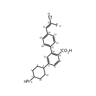 CCCC1CCC(c2ccc(C(=O)O)c(-c3ccc(C=C(F)CC)cc3)c2)CC1